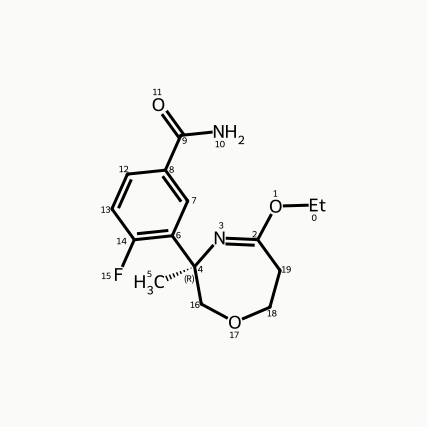 CCOC1=N[C@](C)(c2cc(C(N)=O)ccc2F)COCC1